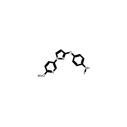 COc1ccc(-n2ccc(Oc3ccc(NF)cc3)n2)cn1